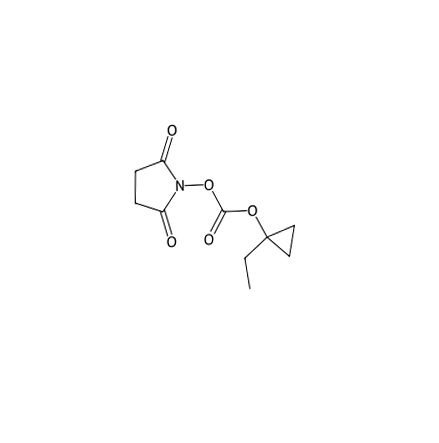 CCC1(OC(=O)ON2C(=O)CCC2=O)CC1